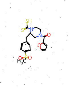 CS(=O)(=O)c1ccc(CC2CN(C(=O)c3ccco3)CCN2C(=S)S)cc1